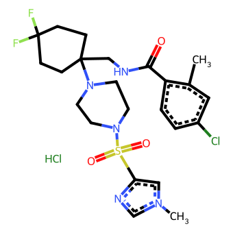 Cc1cc(Cl)ccc1C(=O)NCC1(N2CCN(S(=O)(=O)c3cn(C)cn3)CC2)CCC(F)(F)CC1.Cl